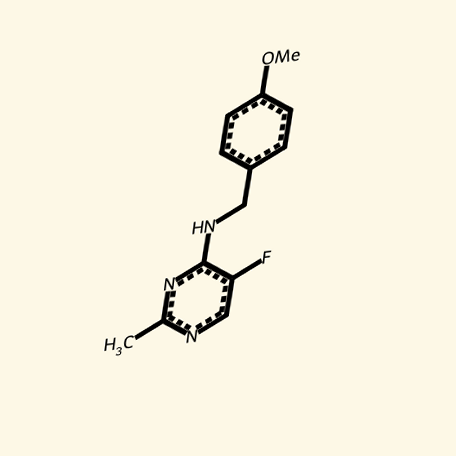 COc1ccc(CNc2nc(C)ncc2F)cc1